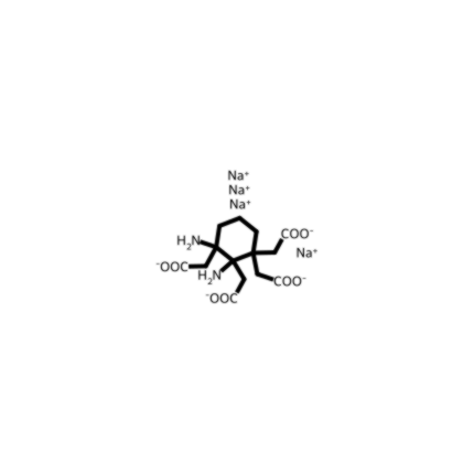 NC1(CC(=O)[O-])CCCC(CC(=O)[O-])(CC(=O)[O-])C1(N)CC(=O)[O-].[Na+].[Na+].[Na+].[Na+]